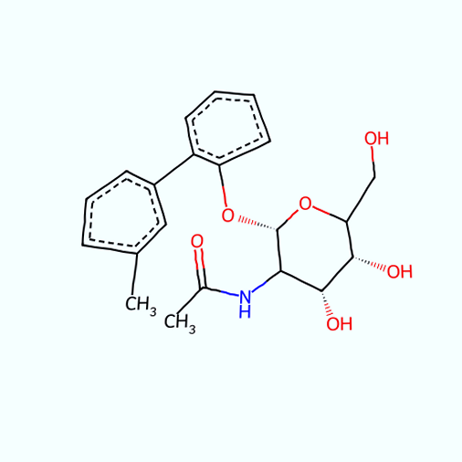 CC(=O)NC1[C@H](Oc2ccccc2-c2cccc(C)c2)OC(CO)[C@H](O)[C@@H]1O